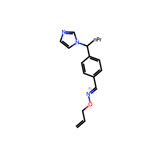 C=CCO/N=C/c1ccc(C(CCC)n2ccnc2)cc1